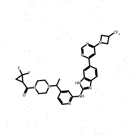 CC(c1ccnc(Nc2nc3ccc(-c4cc(N5CC(C(F)(F)F)C5)ncn4)cc3[nH]2)c1)N1CCN(C(=O)C2CC2(F)F)CC1